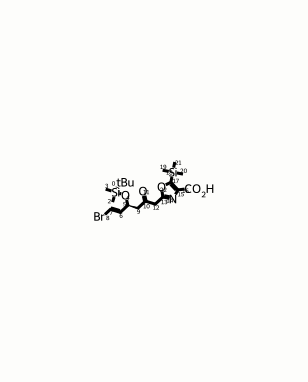 CC(C)(C)[Si](C)(C)O[C@H](/C=C/Br)CC(=O)Cc1nc(C(=O)O)c([Si](C)(C)C)o1